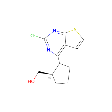 OC[C@@H]1CCCC1c1nc(Cl)nc2sccc12